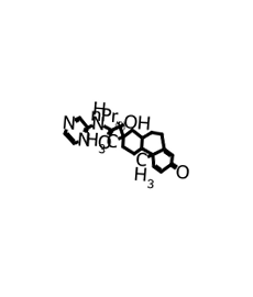 CCC[C@](O)(C(=O)Nc1cnccn1)C1(C)CCC2C(CCC3=CC(=O)C=CC32C)C1